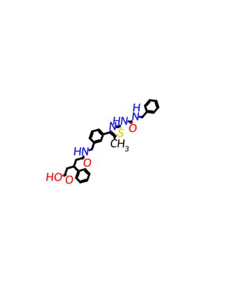 Cc1sc(NC(=O)NCc2ccccc2)nc1-c1cccc(CNC(=O)CC(CC(=O)O)c2ccccc2)c1